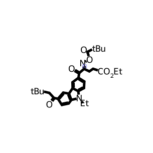 CCOC(=O)CC/C(=N\OC(=O)C(C)(C)C)C(=O)c1ccc2c(c1)c1cc(C(=O)CC(C)(C)C)ccc1n2CC